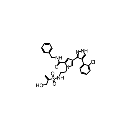 C=C(CO)S(=O)(=O)NCCn1cc(-c2n[nH]cc2-c2ccccc2Cl)cc1C(=O)NCc1ccccc1